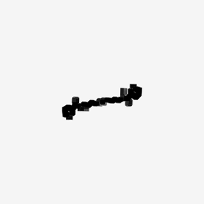 O=C(NCCCCCCCCCCNC(=O)c1cccnc1)c1cccnc1